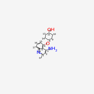 Cc1cc(N)c2c(O[C@H]3CC[C@@H](O)CC3)cccc2n1